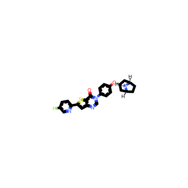 CN1[C@@H]2CC[C@H]1C[C@H](Oc1ccc(-n3cnc4cc(-c5ccc(F)cn5)sc4c3=O)cc1)C2